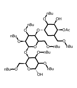 CCCCOCC1O[C@@H](O[C@H]2C(OCCCC)C(OCCCC)[C@H](O)O[C@H]2COCCCC)[C@@H](OCCCC)C(OCCCC)[C@H]1O[C@H]1CC(COCCCC)[C@H](OC(C)=O)[C@H](O)C1OCCCC